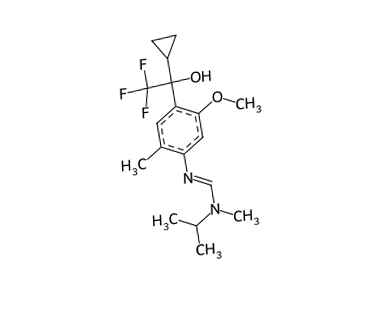 COc1cc(N=CN(C)C(C)C)c(C)cc1C(O)(C1CC1)C(F)(F)F